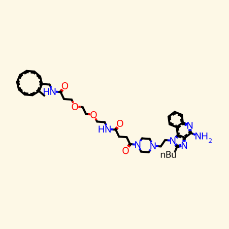 CCCCc1nc2c(N)nc3ccccc3c2n1CCN1CCN(C(=O)CCC(=O)NCCOCCOCCC(=O)NCc2ccccccccc2C)CC1